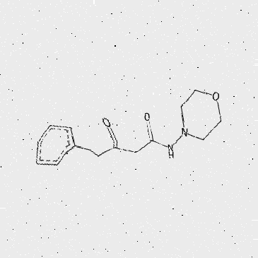 O=C(CC(=O)NN1CCOCC1)Cc1ccccc1